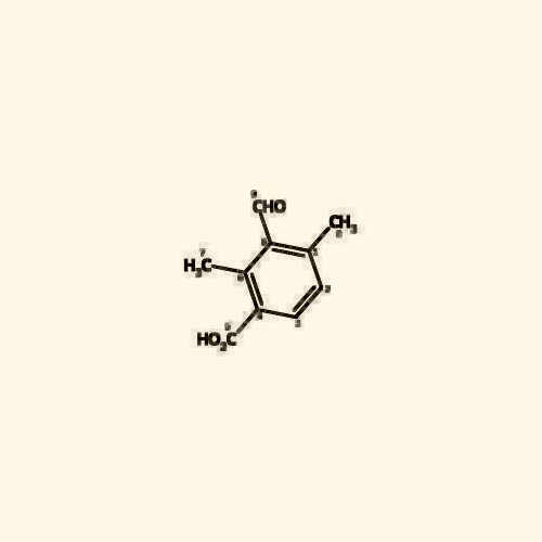 Cc1ccc(C(=O)O)c(C)c1C=O